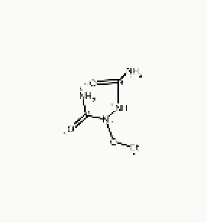 CCON(NC(N)=O)C(N)=O